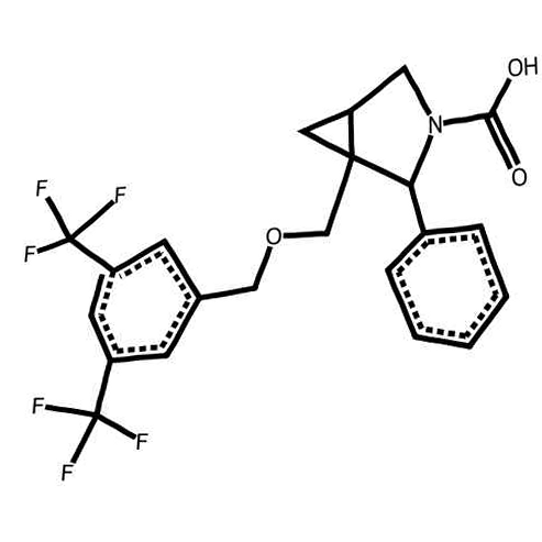 O=C(O)N1CC2CC2(COCc2cc(C(F)(F)F)cc(C(F)(F)F)c2)C1c1ccccc1